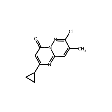 Cc1cc2nc(C3CC3)cc(=O)n2nc1Cl